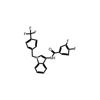 O=C(Nc1cn(Cc2ccc(C(F)(F)F)cc2)c2ccccc12)c1ccc(F)c(F)c1